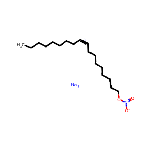 CCCCCCCC/C=C\CCCCCCCCO[N+](=O)[O-].N